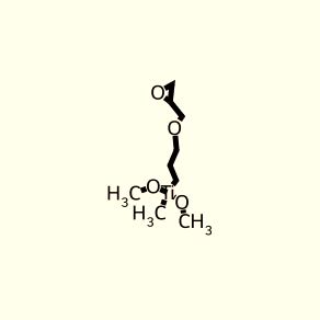 C[O][Ti]([CH3])([CH2]CCOCC1CO1)[O]C